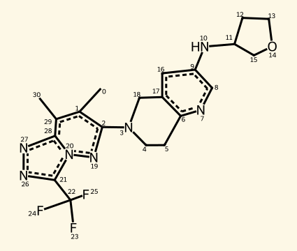 Cc1c(N2CCc3ncc(NC4CCOC4)cc3C2)nn2c(C(F)(F)F)nnc2c1C